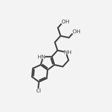 OCC(CO)CC1NCCc2c1[nH]c1ccc(Cl)cc21